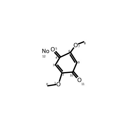 COC1=CC(=O)C(OC)=CC1=O.[No]